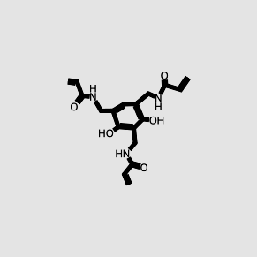 C=CC(=O)NCc1cc(CNC(=O)C=C)c(O)c(CNC(=O)C=C)c1O